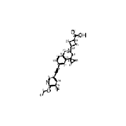 CCOc1ncc(C#Cc2ccc3c(c2)C2(CC2)CN(C2CC(C(=O)O)C2)C3)cc1F